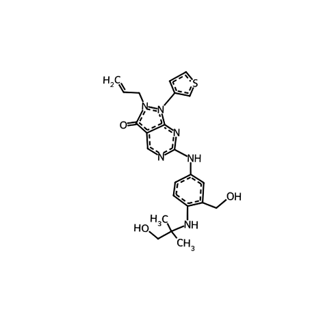 C=CCn1c(=O)c2cnc(Nc3ccc(NC(C)(C)CO)c(CO)c3)nc2n1-c1ccsc1